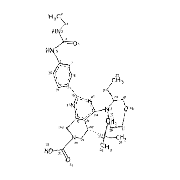 CCNC(=O)Nc1ccc(-c2nc3c(c(N4CCOCC4CC)n2)[C@H](C(C)(C)C)CN(C(=O)O)C3)cc1